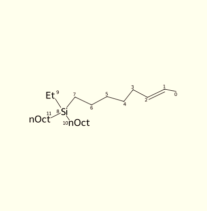 CC=CCCCCC[Si](CC)(CCCCCCCC)CCCCCCCC